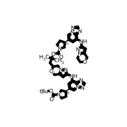 CC(C)(C)OC(=O)N1CC[C@H](c2cc(Nc3cc4n(n3)CC(CC(C)(C)OC(=O)N3CC[C@@H](c5cc(Nc6cc7n(n6)CCOC7)c6ncnn6c5)C3)OC4)c3ncnn3c2)C1